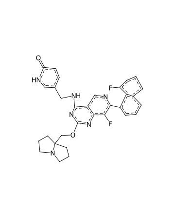 O=c1ccc(CNc2nc(OCC34CCCN3CCC4)nc3c(F)c(-c4cccc5cccc(F)c45)ncc23)c[nH]1